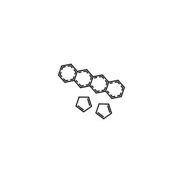 C1=CCC=C1.C1=CCC=C1.c1ccc2cc3cc4ccccc4cc3cc2c1